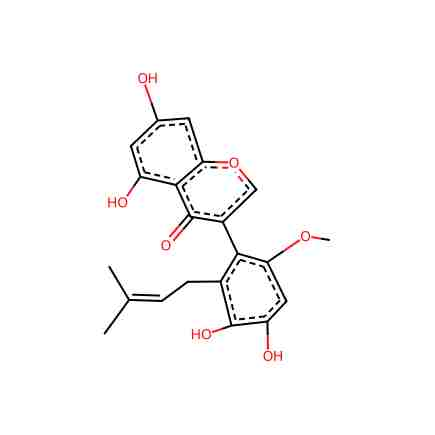 COc1cc(O)c(O)c(CC=C(C)C)c1-c1coc2cc(O)cc(O)c2c1=O